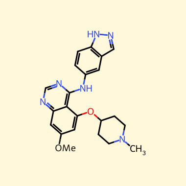 COc1cc(OC2CCN(C)CC2)c2c(Nc3ccc4[nH]ncc4c3)ncnc2c1